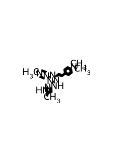 Cc1cc(Nc2nc(/C=C/c3ccc(N(C)C)cc3)nc(N3CCN(C)CC3)n2)n[nH]1